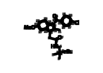 CCCC[Si](C)(C)CNC(=O)Cc1c(C)n(C(=O)c2ccc(Cl)cc2)c2ccc(OC)cc12